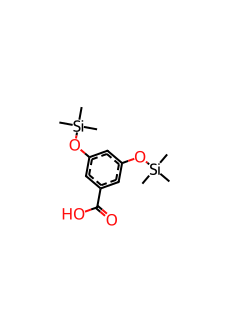 C[Si](C)(C)Oc1cc(O[Si](C)(C)C)cc(C(=O)O)c1